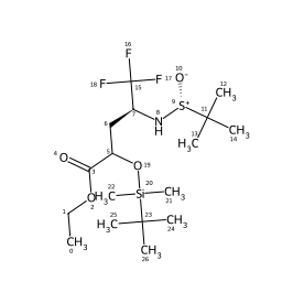 CCOC(=O)C(C[C@H](N[S@+]([O-])C(C)(C)C)C(F)(F)F)O[Si](C)(C)C(C)(C)C